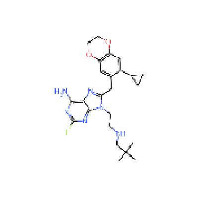 CC(C)(C)CNCCn1c(Cc2cc3c(cc2C2CC2)OCCO3)nc2c(N)nc(F)nc21